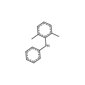 Cc1cccc(C)c1Pc1ccccc1